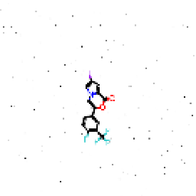 O=c1oc(-c2ccc(F)c(C(F)(F)F)c2)cn2cc(I)cc12